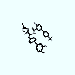 Cc1noc(C(Cc2ccc(-c3ccc(F)c(Cl)c3)cc2)NC(=O)c2cc(-c3ccc(C(F)(F)F)cc3)ccc2O)n1